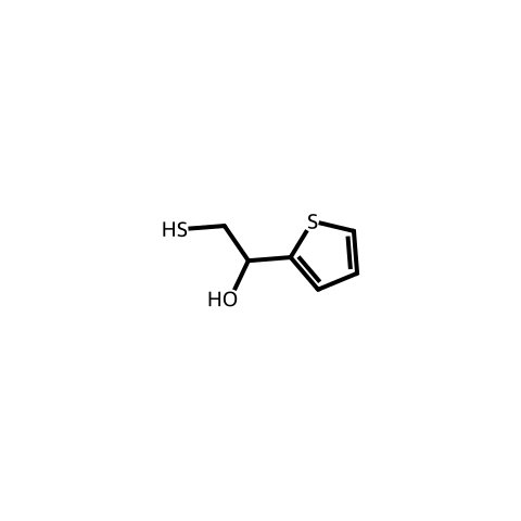 OC(CS)c1cccs1